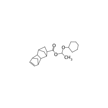 CC(OC(=O)C1CC2CC1C1C3C=CC(C3)C21)OC1CCCCC1